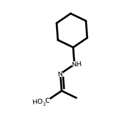 CC(=NNC1CCCCC1)C(=O)O